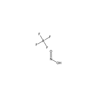 F[B-](F)(F)F.O=NO